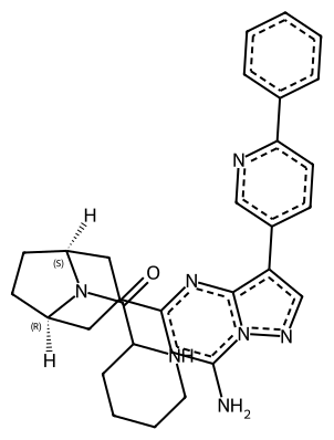 Nc1cc(C2C[C@H]3CC[C@@H](C2)N3C(=O)C2CCCCN2)nc2c(-c3ccc(-c4ccccc4)nc3)cnn12